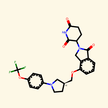 O=C1CCC(N2Cc3c(OC[C@H]4CCN(c5ccc(OC(F)(F)F)cc5)C4)cccc3C2=O)C(=O)N1